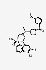 COc1cccc(C(=O)N2CCC(C(C)N3CCC(C(N)=O)(c4ccccc4)C(c4ccc(Cl)c(Cl)c4)C3)C2)c1